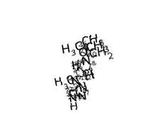 C=C(OC(C)(C)C)N1CC[C@H]2CC(N(C)c3ncnc4[nH]ccc34)C[C@H]2C1